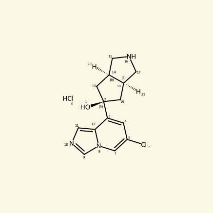 Cl.O[C@@]1(c2cc(Cl)cn3cncc23)C[C@H]2CNC[C@H]2C1